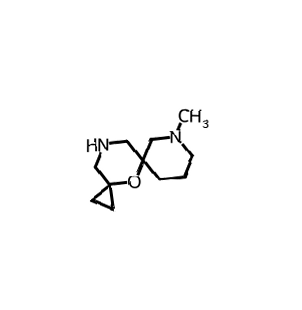 CN1CCCC2(CNCC3(CC3)O2)C1